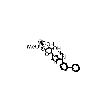 COP(=O)(O)O[C@H]1O[C@@H](n2cnc3c(-c4cccc(-c5ccccc5)c4)ncnc32)[C@H](O)[C@@H]1O